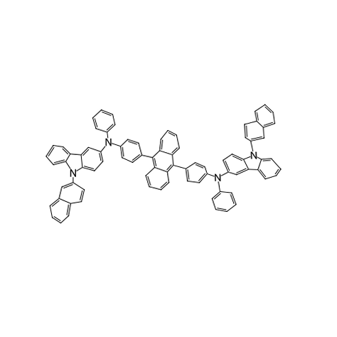 c1ccc(N(c2ccc(-c3c4ccccc4c(-c4ccc(N(c5ccccc5)c5ccc6c(c5)c5ccccc5n6-c5ccc6ccccc6c5)cc4)c4ccccc34)cc2)c2ccc3c(c2)c2ccccc2n3-c2ccc3ccccc3c2)cc1